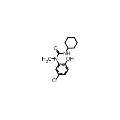 CN(C(=O)NC1CCCCC1)c1cc(Cl)ccc1O